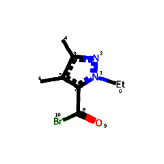 CCn1nc(C)c(C)c1C(=O)Br